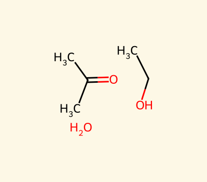 CC(C)=O.CCO.O